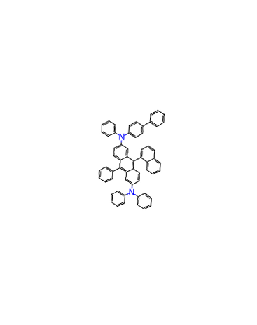 c1ccc(-c2ccc(N(c3ccccc3)c3ccc4c(-c5ccccc5)c5cc(N(c6ccccc6)c6ccccc6)ccc5c(-c5cccc6ccccc56)c4c3)cc2)cc1